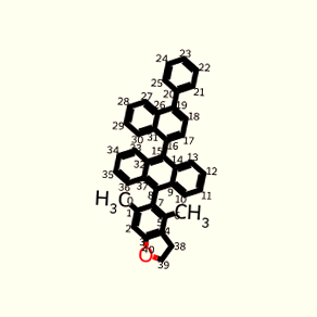 Cc1cc2c(c(C)c1-c1c3ccccc3c(-c3ccc(-c4ccccc4)c4ccccc34)c3ccccc13)CCO2